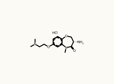 CN(C)CCOc1ccc2c(c1)N(C)C(=O)[C@@H](N)CO2.Cl